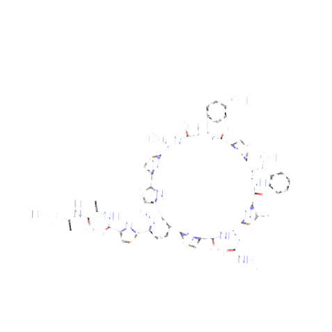 C=C(NC(=O)C(=C)NC(=O)c1csc(-c2ccc3c([n+]2[O-])-c2csc(n2)-c2csc(n2)C(C(C)CC)NC(=O)C(Cc2ccc(O)cc2)NC(=O)c2csc(n2)C(C(O)c2ccccc2)NC(=O)c2nc(sc2C)C(CC(N)=O)NC(=O)c2csc-3n2)n1)C(=O)O